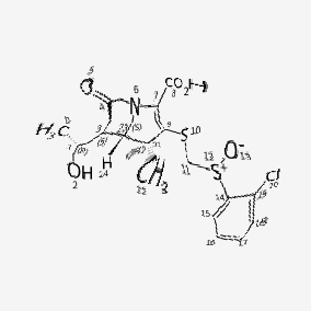 C[C@@H](O)[C@H]1C(=O)N2C(C(=O)O)=C(SC[S+]([O-])c3ccccc3Cl)[C@H](C)[C@H]12